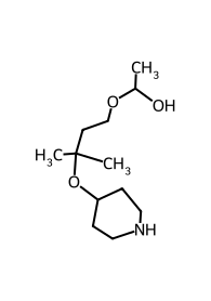 CC(O)OCCC(C)(C)OC1CCNCC1